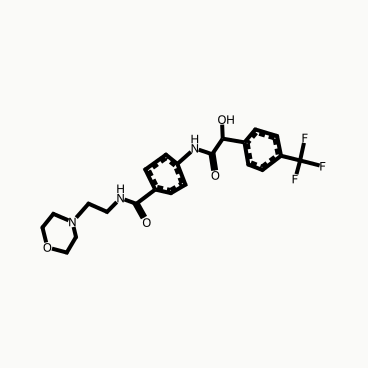 O=C(NCCN1CCOCC1)c1ccc(NC(=O)C(O)c2ccc(C(F)(F)F)cc2)cc1